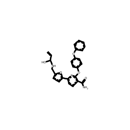 C=CC(O)NCc1ccc(-c2ccc(C(N)=O)c(Oc3ccc(Oc4ccccc4)cc3)n2)o1